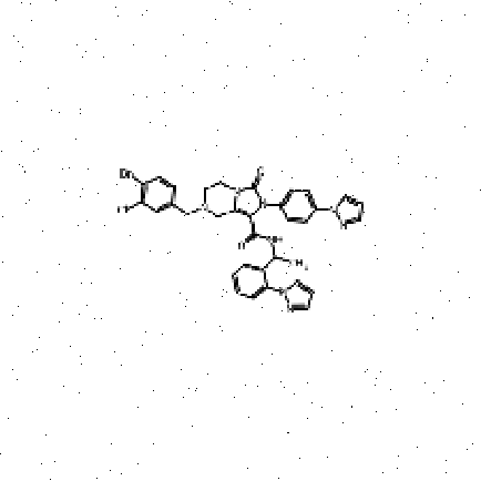 CC(NC(=O)c1c2n(c(=O)n1-c1ccc(-n3cccn3)cc1)CCN(Cc1ccc(Br)c(Cl)c1)C2)c1ccccc1-n1cccn1